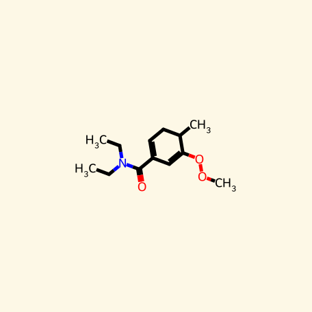 CCN(CC)C(=O)C1=CCC(C)C(OOC)=C1